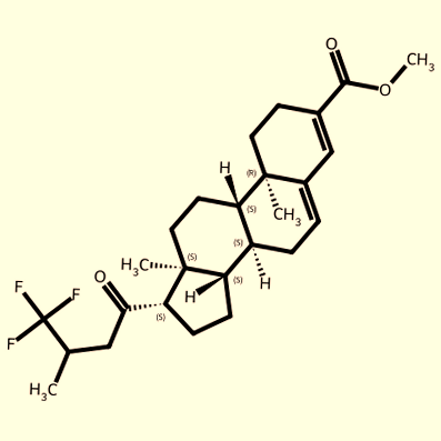 COC(=O)C1=CC2=CC[C@H]3[C@@H]4CC[C@H](C(=O)CC(C)C(F)(F)F)[C@@]4(C)CC[C@@H]3[C@@]2(C)CC1